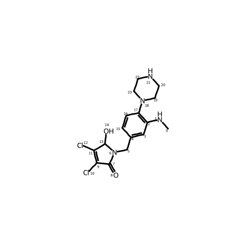 CNc1cc(CN2C(=O)C(Cl)=C(Cl)C2O)ccc1N1CCNCC1